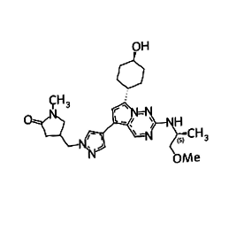 COC[C@H](C)Nc1ncc2c(-c3cnn(CC4CC(=O)N(C)C4)c3)cc([C@H]3CC[C@H](O)CC3)n2n1